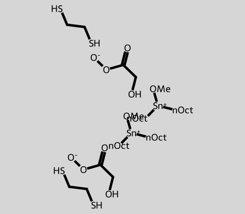 CCCCCCC[CH2][Sn+]([CH2]CCCCCCC)[O]C.CCCCCCC[CH2][Sn+]([CH2]CCCCCCC)[O]C.O=C(CO)O[O-].O=C(CO)O[O-].SCCS.SCCS